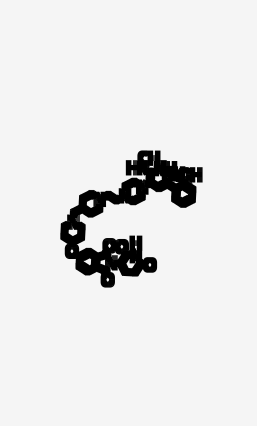 CN/C(N)=C(/C=C(\N)c1ccccc1O)N1CCN(CCN2CCC(CN3CCC(Oc4ccc5c(c4)C(=O)N(C4CCC(=O)NC4=O)C5=O)CC3)CC2)CC1